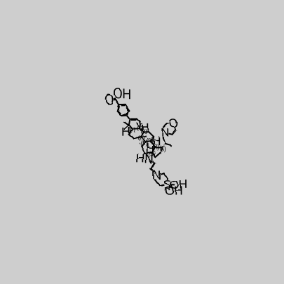 CC(CN1CCOCC1)[C@@H]1CC[C@]2(NCCN3CCS(O)(O)CC3)CC[C@]3(C)[C@H](CC[C@@H]4[C@@]5(C)CC=C(c6ccc(C(=O)O)cc6)C(C)(C)[C@@H]5CC[C@]43C)[C@@H]12